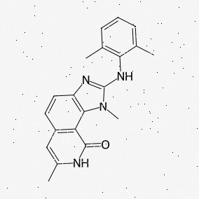 Cc1cc2ccc3nc(Nc4c(C)cccc4C)n(C)c3c2c(=O)[nH]1